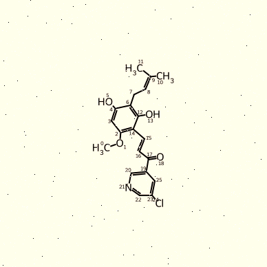 COc1cc(O)c(CC=C(C)C)c(O)c1C=CC(=O)c1cncc(Cl)c1